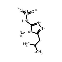 CC(C)Cc1nnc(N[SH](=O)=O)s1.[Na]